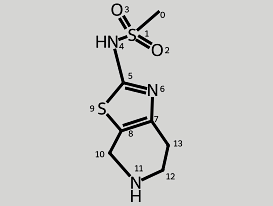 CS(=O)(=O)Nc1nc2c(s1)CNCC2